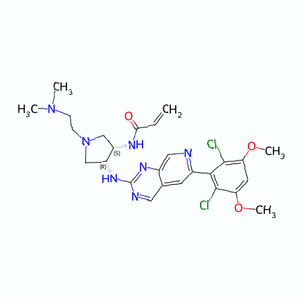 C=CC(=O)N[C@H]1CN(CCN(C)C)C[C@H]1Nc1ncc2cc(-c3c(Cl)c(OC)cc(OC)c3Cl)ncc2n1